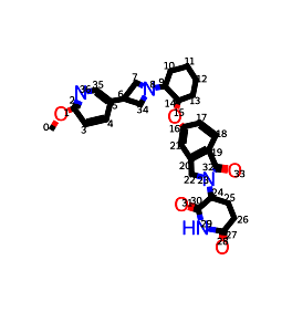 COc1ccc(C2CN(C3CCCCC3Oc3ccc4c(c3)CN(C3CCC(=O)NC3=O)C4=O)C2)cn1